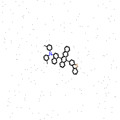 Cc1cccc(N(c2cccc(C)c2)c2ccc(-c3c4ccccc4c(-c4ccc5sc6ccccc6c5c4)c4cc5ccccc5cc34)c3ccccc23)c1